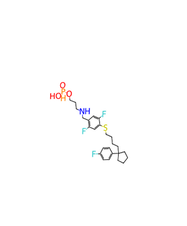 O=[PH](O)OCCCNCc1cc(F)c(SCCCCC2(c3ccc(F)cc3)CCCC2)cc1F